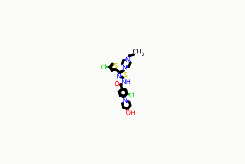 CCCN1CCN(c2sc(NC(=O)c3ccc(N4CCC(O)CC4)c(Cl)c3)nc2-c2cc(Cl)cs2)CC1